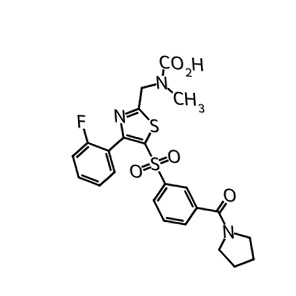 CN(Cc1nc(-c2ccccc2F)c(S(=O)(=O)c2cccc(C(=O)N3CCCC3)c2)s1)C(=O)O